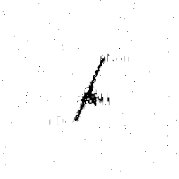 CCCCCCCCCC=CC=CC=CC=CC=CC=CC(=O)O[C@H](COC(=O)CCCCCCCCCCCCCCCCC)COP(=O)(O)O